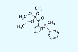 CCOC(OC)(OC)C(=O)c1cccn1[C@H](C)c1ccccc1